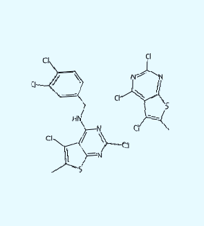 Cc1sc2nc(Cl)nc(Cl)c2c1Cl.Cc1sc2nc(Cl)nc(NCc3ccc(Cl)c(Cl)c3)c2c1Cl